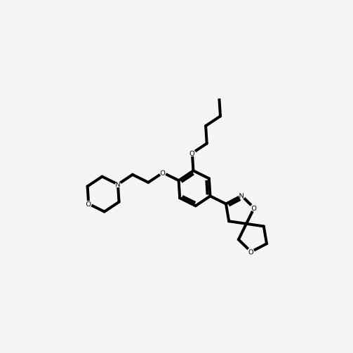 CCCCOc1cc(C2=NOC3(CCOC3)C2)ccc1OCCN1CCOCC1